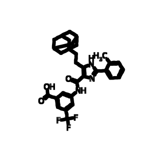 Cc1ccccc1-c1nc(C(=O)Nc2cc(C(=O)O)cc(C(F)(F)F)c2)c(CCC23CC4CC(CC(C4)C2)C3)[nH]1